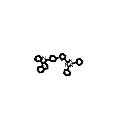 c1ccc(-c2nc(-c3ccccc3)nc(-c3cccc(-c4ccc(-c5nc6ccccc6c6c5ccc5ccccc56)cc4)c3)n2)cc1